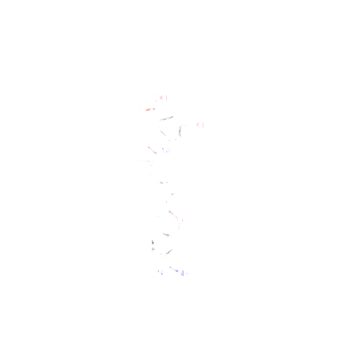 CC(C)(Cc1ccc(C(=O)Oc2ccc(C(=N)N)cc2F)s1)C(=O)Nc1cc(O)cc(C(=O)O)c1